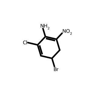 NC1=C([N+](=O)[O-])CC(Br)C=C1Cl